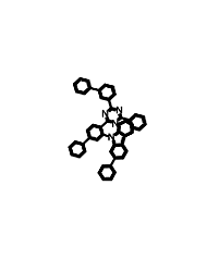 c1ccc(-c2cccc(-c3nc(-c4ccccc4)nc(-c4ccc(-c5ccccc5)cc4-n4c5ccccc5c5ccc(-c6ccccc6)cc54)n3)c2)cc1